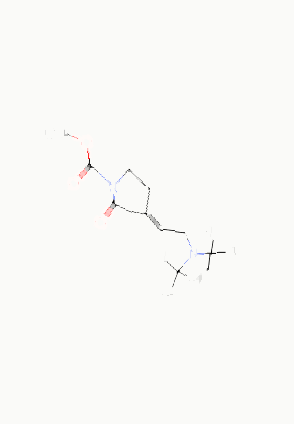 [2H]C([2H])([2H])N(C/C=C1\CCN(C(=O)OC(C)(C)C)C1=O)C([2H])([2H])[2H]